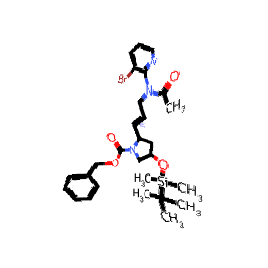 CC(=O)N(C/C=C/C1CC(O[Si](C)(C)C(C)(C)C)CN1C(=O)OCc1ccccc1)c1ncccc1Br